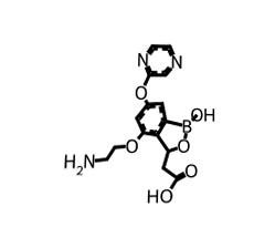 NCCOc1cc(Oc2cnccn2)cc2c1C(CC(=O)O)OB2O